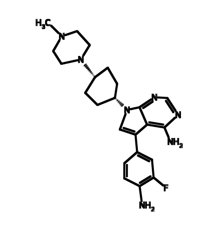 CN1CCN([C@H]2CC[C@@H](n3cc(-c4ccc(N)c(F)c4)c4c(N)ncnc43)CC2)CC1